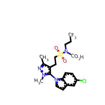 Cc1nn(C)c(-n2ccc3cc(Cl)ccc32)c1CCS(=O)(=O)N(CCC(F)(F)F)C(=O)O